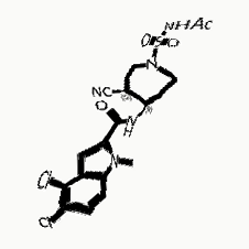 CC(=O)NS(=O)(=O)N1CC[C@@H](NC(=O)c2cc3c(Cl)c(Cl)ccc3n2C)[C@@H](C#N)C1